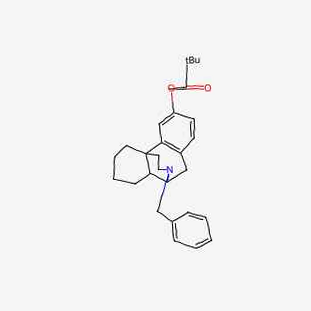 CC(C)(C)C(=O)Oc1ccc2c(c1)C13CCCCC1C(C2)N(Cc1ccccc1)CC3